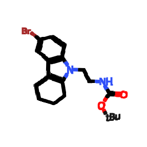 CC(C)(C)OC(=O)NCCn1c2c(c3cc(Br)ccc31)CCCC2